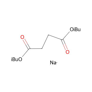 CC(C)COC(=O)CCC(=O)OCC(C)C.[Na]